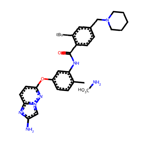 Cc1ccc(Oc2ccc3nc(N)cn3n2)cc1NC(=O)c1ccc(CN2CCCCC2)cc1C(C)(C)C.NC(=O)O